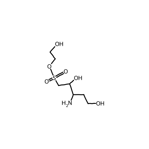 NC(CCO)C(O)CS(=O)(=O)OCCO